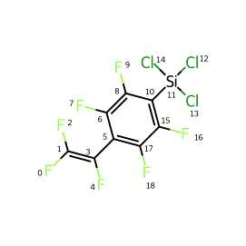 FC(F)=C(F)c1c(F)c(F)c([Si](Cl)(Cl)Cl)c(F)c1F